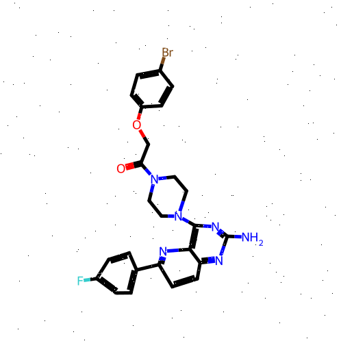 Nc1nc(N2CCN(C(=O)COc3ccc(Br)cc3)CC2)c2nc(-c3ccc(F)cc3)ccc2n1